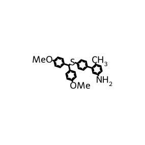 COc1ccc(C(Sc2ccc(-c3cc(N)ccc3C)cc2)c2ccc(OC)cc2)cc1